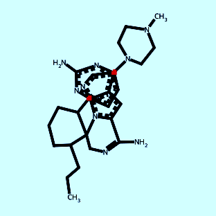 CCCC1CCCC(c2ccc(N3CCN(C)CC3)cn2)C12CN=C(N)c1cc3cnc(N)nc3n12